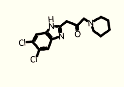 O=C(Cc1nc2cc(Cl)c(Cl)cc2[nH]1)CN1CCCCC1